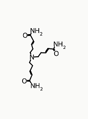 NC(=O)C=CCCN(CCC=CC(N)=O)CCC=CC(N)=O